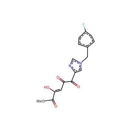 COC(=O)C(O)=CC(=O)C(=O)c1cn(Cc2ccc(F)cc2)cn1